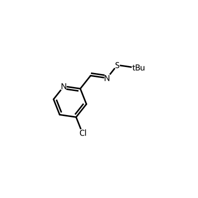 CC(C)(C)S/N=C/c1cc(Cl)ccn1